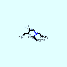 C=CC/C(C)=C\N(CC=C)/C(=C\NC)CC